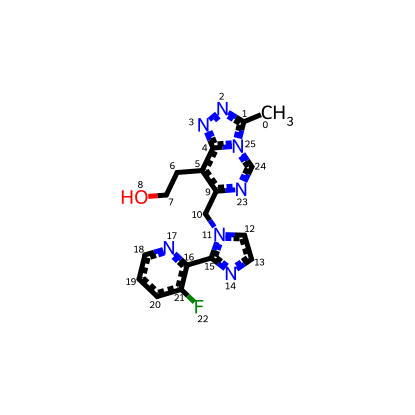 Cc1nnc2c(CCO)c(Cn3ccnc3-c3ncccc3F)ncn12